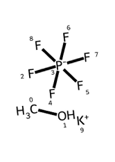 CO.F[P-](F)(F)(F)(F)F.[K+]